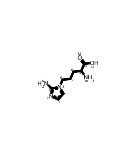 Nc1nccn1CCCC(N)C(=O)O